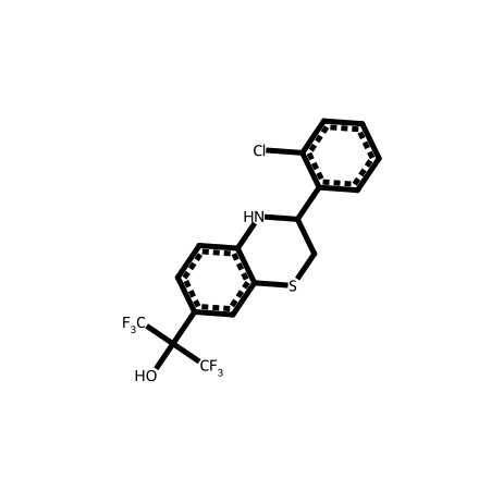 OC(c1ccc2c(c1)SCC(c1ccccc1Cl)N2)(C(F)(F)F)C(F)(F)F